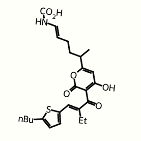 CCCCc1ccc(C=C(CC)C(=O)c2c(O)cc(C(C)CCC=CNC(=O)O)oc2=O)s1